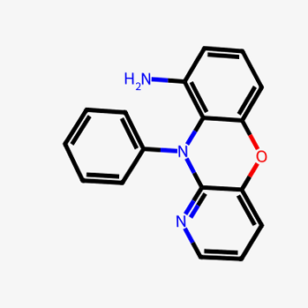 Nc1cccc2c1N(c1ccccc1)c1ncccc1O2